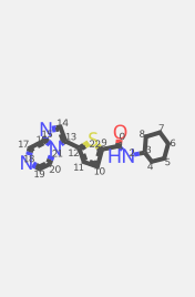 O=C(NC1CCCCC1)c1ccc(-c2cnc3cnccn23)s1